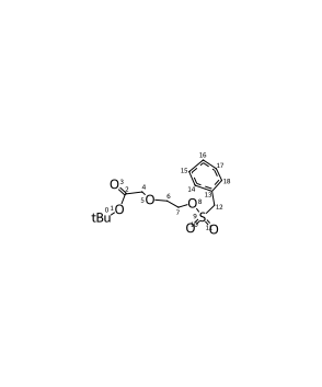 CC(C)(C)OC(=O)COCCOS(=O)(=O)Cc1ccccc1